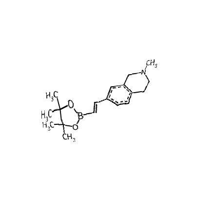 CN1CCc2ccc(/C=C/B3OC(C)(C)C(C)(C)O3)cc2C1